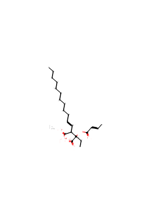 C/C=C/C(=O)OC(CC)(C(=O)O)C(/C=C/CCCCCCCCCC)C(=O)O.[KH]